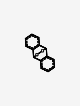 c1ccc2c(c1)C1OOC2c2ccccc21